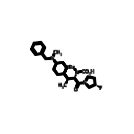 C[C@@H](C1CCC(N(C)Cc2ccccc2)CC1)[C@@H](C(=O)N1CC[C@H](F)C1)N(C(=O)O)C(C)(C)C